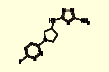 Nc1nnc(NC2CCN(c3ccc(F)nn3)C2)s1